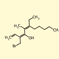 C=C/C(CBr)=C(O)\C(C)=C(\CC)CCCCC